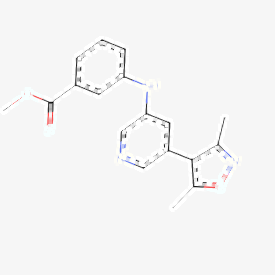 COC(=O)c1cccc(Nc2cncc(-c3c(C)noc3C)c2)c1